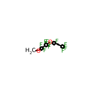 C=CCOc1cc(F)c(-c2cc(F)c(C(F)(F)Oc3ccc(C#Cc4cc(F)c(F)c(F)c4)c(F)c3)c(F)c2)c(F)c1